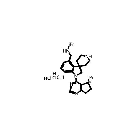 CC(C)NCc1cccc2c1C1(CCNCC1)CN2c1ncnc2c1[C@H](C(C)C)CC2.Cl.Cl.Cl